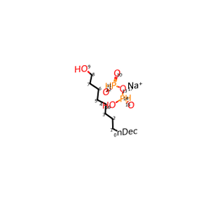 CCCCCCCCCCCCCCCCCCO.O=[PH]([O-])O[PH](=O)O.[Na+]